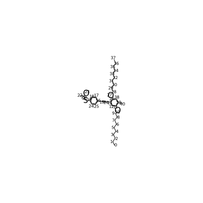 CCCCCCCCCCOc1cc(C#Cc2ccc(SC(C)=O)cc2)c(OCCCCCCCCCC)cc1C